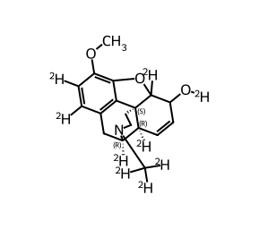 [2H]OC1C=C[C@@]2([2H])[C@@]3([2H])Cc4c([2H])c([2H])c(OC)c5c4[C@@]2(CCN3C([2H])([2H])[2H])C1([2H])O5